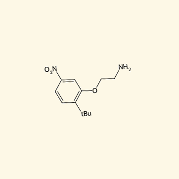 CC(C)(C)c1ccc([N+](=O)[O-])cc1OCCN